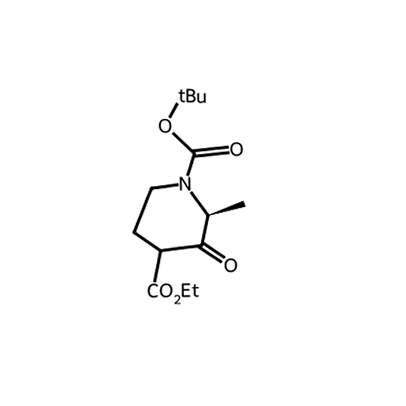 CCOC(=O)C1CCN(C(=O)OC(C)(C)C)[C@@H](C)C1=O